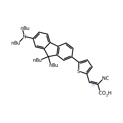 [C-]#[N+]/C(=C\c1ccc(-c2ccc3c(c2)C(CCCC)(CCCC)c2cc(N(CCCC)CCCC)ccc2-3)s1)C(=O)O